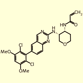 C=CC(=O)N[C@@H]1CCOC[C@@H]1Nc1ncc2cc(-c3c(Cl)c(OC)cc(OC)c3Cl)ccc2n1